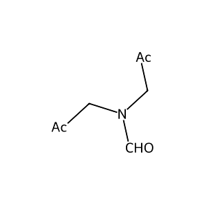 CC(=O)CN(C=O)CC(C)=O